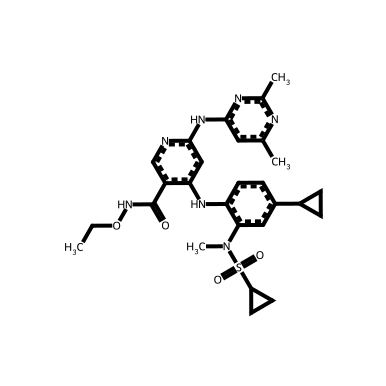 CCONC(=O)c1cnc(Nc2cc(C)nc(C)n2)cc1Nc1ccc(C2CC2)cc1N(C)S(=O)(=O)C1CC1